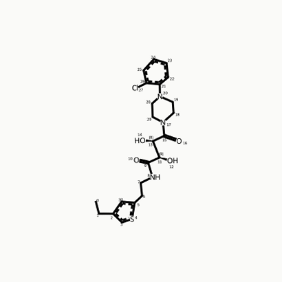 CCc1csc(CCNC(=O)[C@H](O)[C@@H](O)C(=O)N2CCN(c3ccccc3Cl)CC2)c1